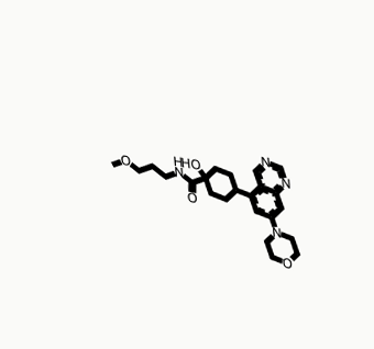 COCCCNC(=O)C1(O)CCC(c2cc(N3CCOCC3)cc3ncncc23)CC1